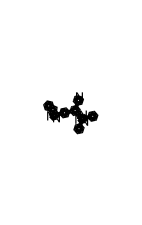 c1ccc(-c2nc(-c3ccccc3)nc(-c3cc(-c4ccncc4)cc(-c4ccc(-c5ncnc6c5Cc5ccccc5-6)cc4)c3)n2)cc1